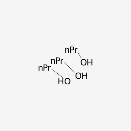 CCCO.CCCO.CCCO